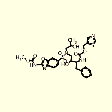 COC(=O)Nc1nc2ccc(S(=O)(=O)N(CC(C)C)CC(O)C(Cc3ccccc3)NC(=O)OCc3cncs3)cc2o1